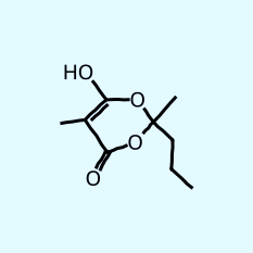 CCCC1(C)OC(=O)C(C)=C(O)O1